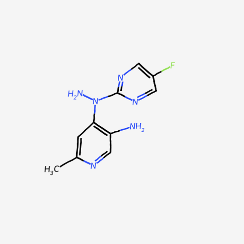 Cc1cc(N(N)c2ncc(F)cn2)c(N)cn1